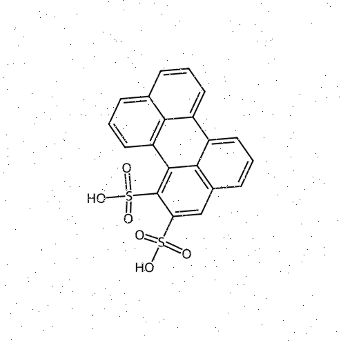 O=S(=O)(O)c1cc2cccc3c4cccc5cccc(c(c1S(=O)(=O)O)c23)c54